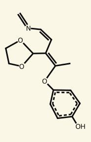 C=N/C=C\C(=C(/C)Oc1ccc(O)cc1)C1OCCO1